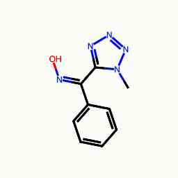 Cn1nnnc1/C(=N\O)c1ccccc1